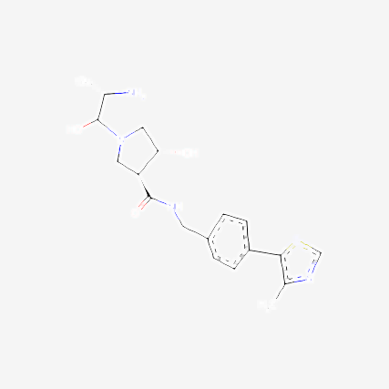 Cc1ncsc1-c1ccc(CNC(=O)[C@H]2CN(C(O)[C@@H](N)C(C)(C)C)C[C@@H]2O)cc1